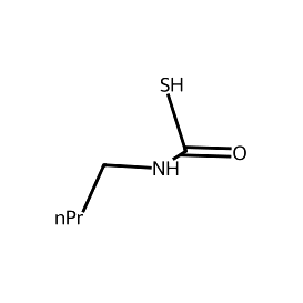 CCCCNC(=O)S